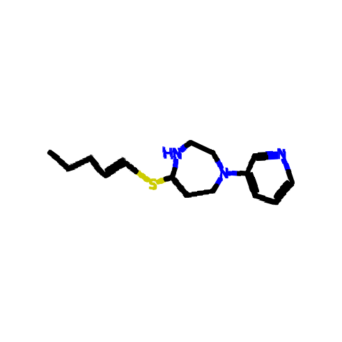 CCCC=CSC1CCN(c2cccnc2)CCN1